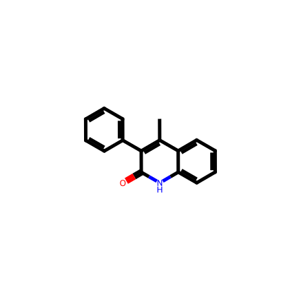 Cc1c(-c2ccccc2)c(=O)[nH]c2ccccc12